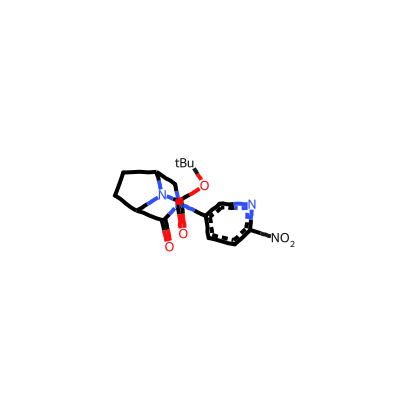 CC(C)(C)OC(=O)N1C2CCC1C(=O)N(c1ccc([N+](=O)[O-])nc1)C2